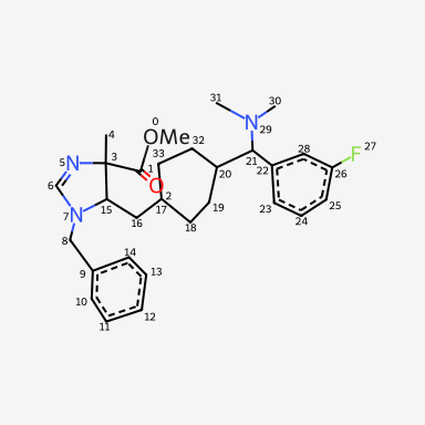 COC(=O)C1(C)N=CN(Cc2ccccc2)C1CC1CCC(C(c2cccc(F)c2)N(C)C)CC1